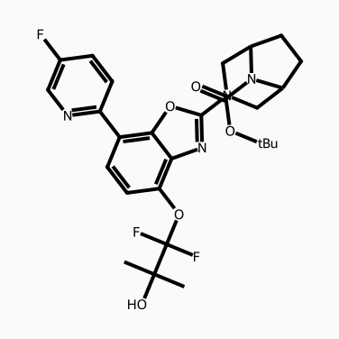 CC(C)(C)OC(=O)N1C2CCC1CN(c1nc3c(OC(F)(F)C(C)(C)O)ccc(-c4ccc(F)cn4)c3o1)C2